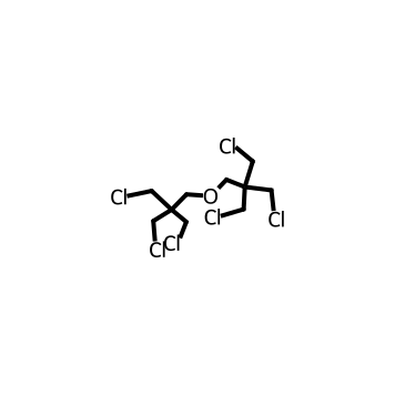 ClCC(CCl)(CCl)COCC(CCl)(CCl)CCl